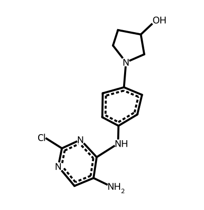 Nc1cnc(Cl)nc1Nc1ccc(N2CCC(O)C2)cc1